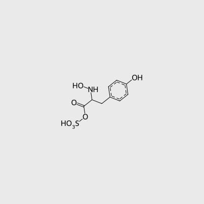 O=C(OS(=O)(=O)O)C(Cc1ccc(O)cc1)NO